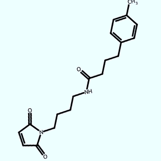 Cc1ccc(CCCC(=O)NCCCCN2C(=O)C=CC2=O)cc1